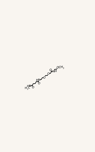 CNC(=O)CCCC(=O)NCCOCCOCC(=O)NCCOC